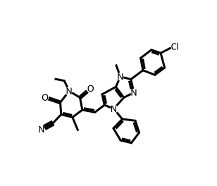 CCN1C(=O)C(C#N)=C(C)/C(=C/c2cc3c(nc(-c4ccc(Cl)cc4)n3C)n2-c2ccccc2)C1=O